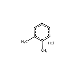 Cc1c[c]ccc1C.Cl